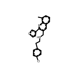 Cc1cccc2cc(CNCCc3ccc(Cl)cc3)c(-c3ccsc3)nc12